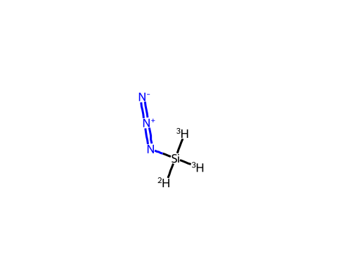 [2H][Si]([3H])([3H])N=[N+]=[N-]